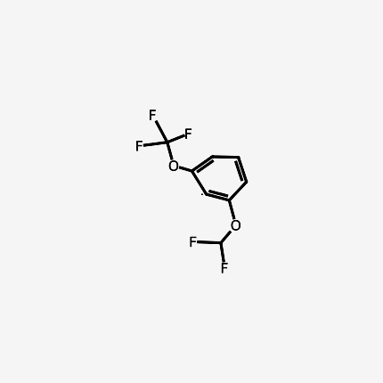 FC(F)Oc1[c]c(OC(F)(F)F)ccc1